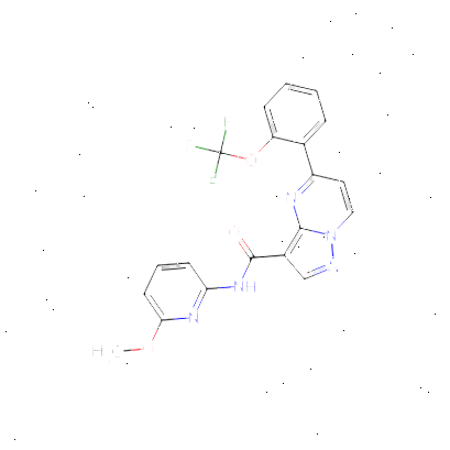 COc1cccc(NC(=O)c2cnn3ccc(-c4ccccc4OC(F)(F)F)nc23)n1